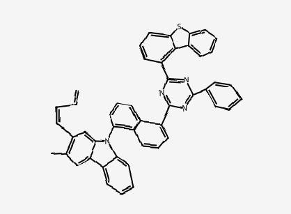 C=C/C=C\c1cc2c(cc1C)c1ccccc1n2-c1cccc2c(-c3nc(-c4ccccc4)nc(-c4cccc5sc6ccccc6c45)n3)cccc12